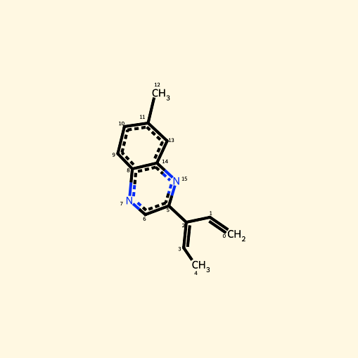 C=C/C(=C\C)c1cnc2ccc(C)cc2n1